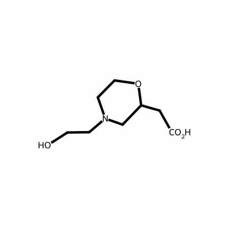 O=C(O)CC1CN(CCO)CCO1